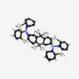 Cc1ccccc1N(c1ccc2c(c1)C(C)(C)c1ccc(N(c3ccccc3C)c3ccccc3C)cc1C2(C)C)c1ccccc1C